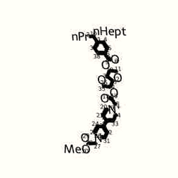 CCCCCCCC(CCC)c1ccc(C(=O)OC2COC3C(OC(=O)C[n+]4ccc(-c5cc[n+](CC(=O)OC)cc5)cc4)COC23)cc1